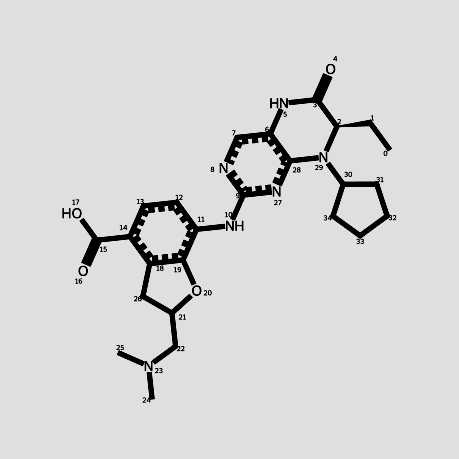 CC[C@@H]1C(=O)Nc2cnc(Nc3ccc(C(=O)O)c4c3OC(CN(C)C)C4)nc2N1C1CCCC1